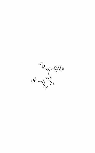 COC(=O)C1CCN1C(C)C